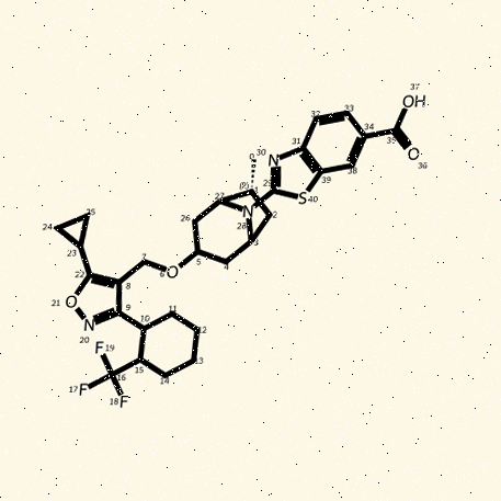 C[C@@H]1CC2CC(OCc3c(C4CCCCC4C(F)(F)F)noc3C3CC3)CC1N2c1nc2ccc(C(=O)O)cc2s1